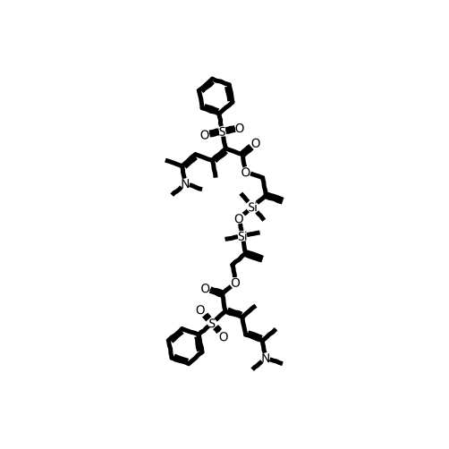 C=C(COC(=O)/C(=C(C)/C=C(/C)N(C)C)S(=O)(=O)c1ccccc1)[Si](C)(C)O[Si](C)(C)C(=C)COC(=O)/C(=C(C)/C=C(\C)N(C)C)S(=O)(=O)c1ccccc1